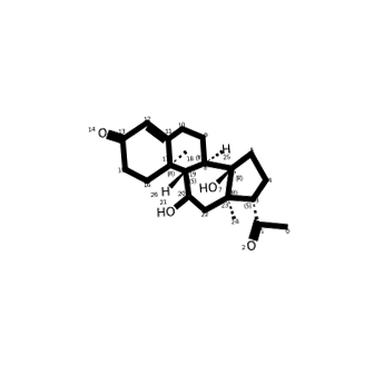 CC(=O)[C@H]1CC[C@@]2(O)[C@@H]3CCC4=CC(=O)CC[C@]4(C)[C@H]3C(O)C[C@]12C